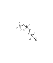 C[Si](C)(C)C[Si](C)(C)CC[Si](C)(C)Cl